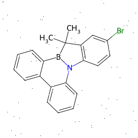 CC1(C)B2c3ccccc3-c3ccccc3N2c2ccc(Br)cc21